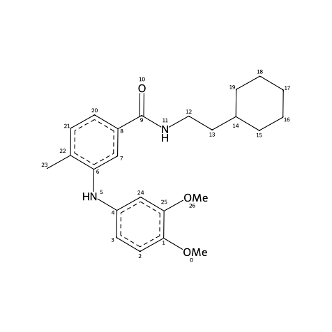 COc1ccc(Nc2cc(C(=O)NCCC3CCCCC3)ccc2C)cc1OC